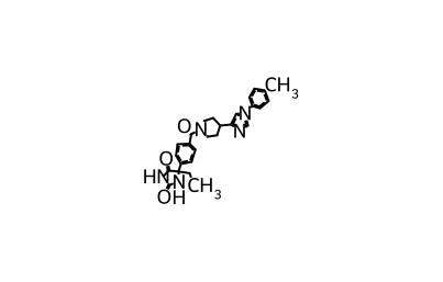 CCC1(c2ccc(C(=O)N3CCC(c4cn(-c5ccc(C)cc5)cn4)CC3)cc2)NC(=O)NC1=O